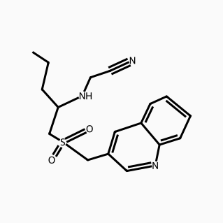 CCCC(CS(=O)(=O)Cc1cnc2ccccc2c1)NCC#N